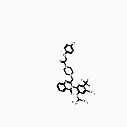 Cc1cc(OC(C)C)c(-n2c(CN3CCN(C(=O)COc4ccc(Cl)cc4)CC3)nc3ccccc3c2=O)cc1C(F)(F)F